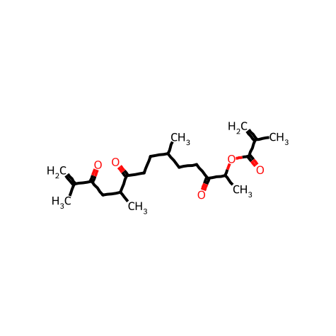 C=C(C)C(=O)CC(C)C(=O)CCC(C)CCC(=O)C(C)OC(=O)C(=C)C